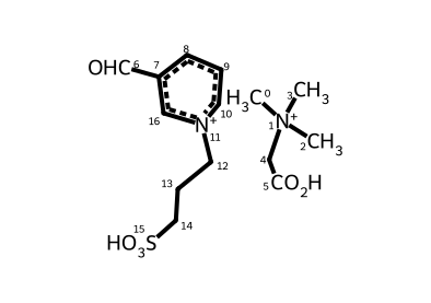 C[N+](C)(C)CC(=O)O.O=Cc1ccc[n+](CCCS(=O)(=O)O)c1